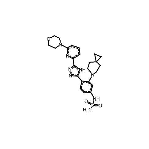 CS(=O)(=O)Nc1ccc(-c2nnc(-c3cccc(N4CCOCC4)n3)[nH]2)c(N2CCC3(CC2)CC3)c1